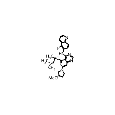 CO[C@H]1CCN(c2cc3ncnc(Nc4ccc5ncccc5c4F)c3c(O[C@H](C)CN(C)C)n2)C1